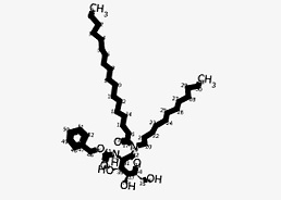 CCCCCCCCCCCCCCCCCC(=O)N(CCCCCCCCCCCC)[C@@H]1O[C@H](CO)[C@@H](O)[C@H](O)[C@H]1NC(=O)OCc1ccccc1